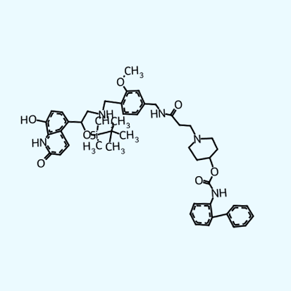 COc1cc(CNC(=O)CCN2CCC(OC(=O)Nc3ccccc3-c3ccccc3)CC2)ccc1CNCC(O[Si](C)(C)C(C)(C)C)c1ccc(O)c2[nH]c(=O)ccc12